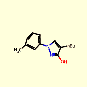 CCCCc1cn(-c2cccc(C)c2)nc1O